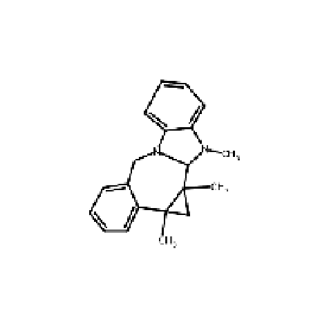 CN1c2ccccc2N2Cc3ccccc3C3(C)CC3(C)C12